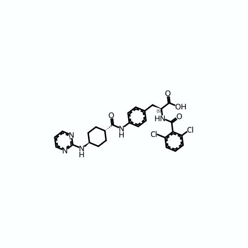 O=C(N[C@@H](Cc1ccc(NC(=O)[C@H]2CC[C@H](Nc3ncccn3)CC2)cc1)C(=O)O)c1c(Cl)cccc1Cl